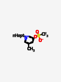 CCCCCCC[n+]1cccc(C)c1.O=S(=O)([O-])C(F)(F)F